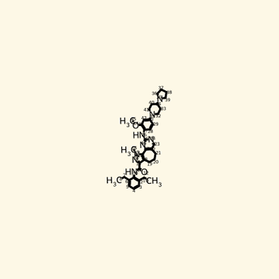 CCc1cccc(CC)c1NC(=O)c1nn(C)c2c1CCCc1cnc(Nc3ccc(N4CCC(N5CCCC5)CC4)cc3OC)nc1-2